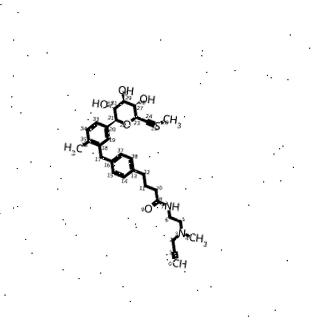 C#CCN(C)CCNC(=O)CCCc1ccc(Cc2cc([C@@H]3OC(C#SC)[C@@H](O)[C@H](O)[C@H]3O)ccc2C)cc1